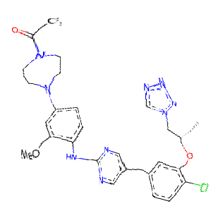 COc1cc(N2CCN(C(=O)C(F)(F)F)CC2)ccc1Nc1ncc(-c2ccc(Cl)c(O[C@@H](C)Cn3cnnn3)c2)cn1